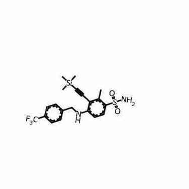 Cc1c(S(N)(=O)=O)ccc(NCc2ccc(C(F)(F)F)cc2)c1C#C[Si](C)(C)C